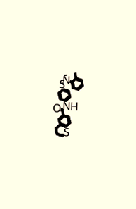 Cc1ccccc1N(C)Sc1ccc(NC(=O)c2ccc3c(c2)CCCS3)cc1